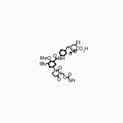 CCCC(=O)OCN1C(=O)CCN(c2cc(C(=O)Nc3ccc(CN(CC(CC)C(=O)O)[SH](=O)=O)cc3)c(OC)c(C(C)(C)C)c2)C1=O